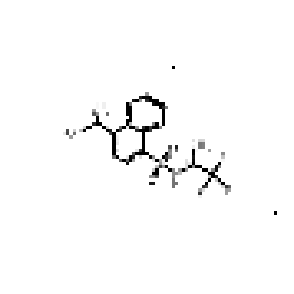 CC(C)c1ccc(S(=O)(=O)N[C@@H](C)C(F)(F)F)c2ccccc12